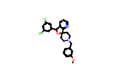 COc1cccc(CN2CCC3(CC2)OC(c2cc(Cl)cc(Cl)c2)c2cccnc23)c1